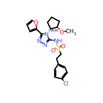 CO[C@@H]1CCC[C@H]1n1c(NS(=O)(=O)CCc2ccc(Cl)cc2)nnc1-c1ccco1